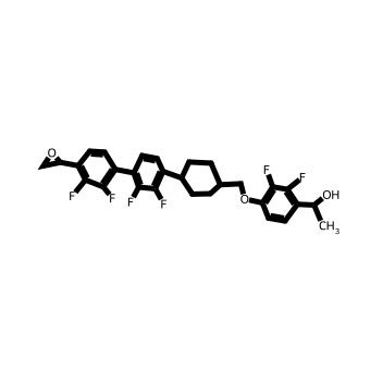 CC(O)c1ccc(OCC2CCC(c3ccc(-c4ccc(C5CO5)c(F)c4F)c(F)c3F)CC2)c(F)c1F